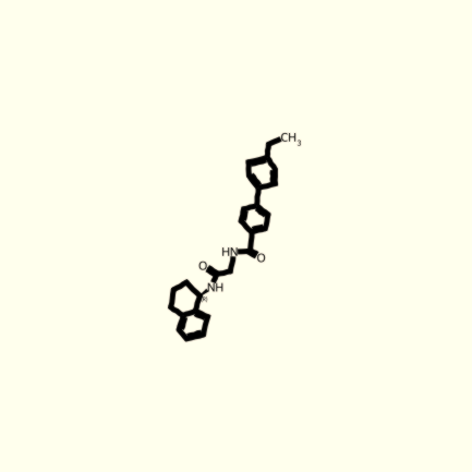 CCc1ccc(-c2ccc(C(=O)NCC(=O)N[C@@H]3CCCc4ccccc43)cc2)cc1